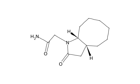 NC(=O)CN1C(=O)C[C@H]2CCCCCC[C@H]21